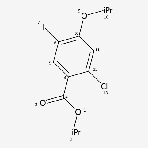 CC(C)OC(=O)c1cc(I)c(OC(C)C)cc1Cl